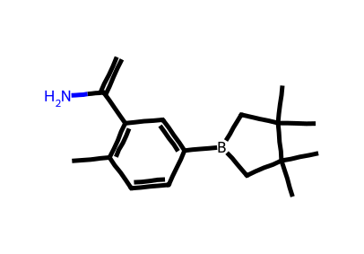 C=C(N)c1cc(B2CC(C)(C)C(C)(C)C2)ccc1C